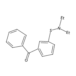 CCN(CC)Sc1cccc(C(=O)c2ccccc2)c1